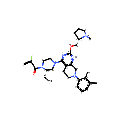 C=C(F)C(=O)N1CCN(c2nc(OC[C@@H]3CCCN3C)nc3c2CCN(c2cccc(C)c2C)C3)C[C@@H]1CC#N